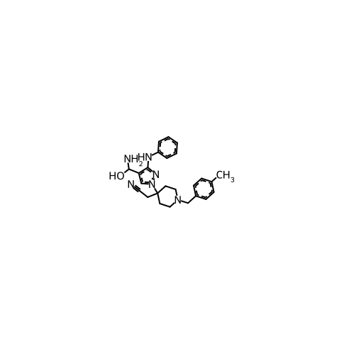 Cc1ccc(CN2CCC(CC#N)(n3cc(C(N)O)c(Nc4ccccc4)n3)CC2)cc1